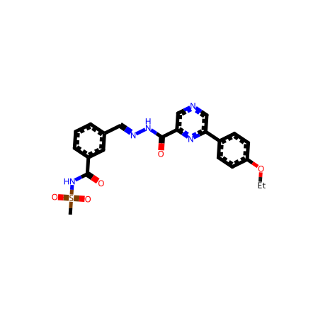 CCOc1ccc(-c2cncc(C(=O)NN=Cc3cccc(C(=O)NS(C)(=O)=O)c3)n2)cc1